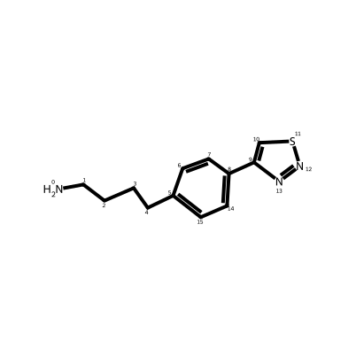 NCCCCc1ccc(-c2csnn2)cc1